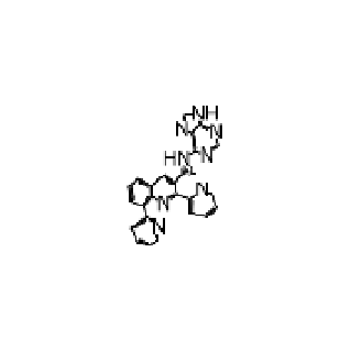 C[C@H](Nc1ncnc2[nH]cnc12)c1cc2cccc(-c3ccccn3)c2nc1-c1ccccn1